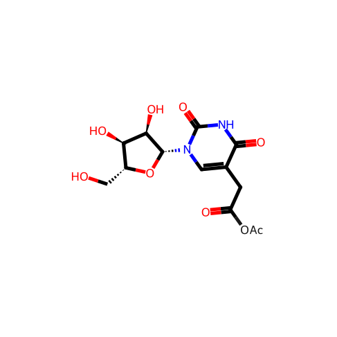 CC(=O)OC(=O)Cc1cn([C@@H]2O[C@H](CO)[C@@H](O)[C@H]2O)c(=O)[nH]c1=O